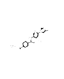 COC(=O)c1ccc(C(CC(C)(C)C)Nc2ccc(-n3cnc(C(F)(F)F)c3)nc2)cc1